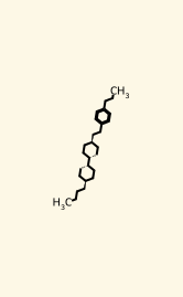 CCCC[C@H]1CC[C@H]([C@H]2CC[C@H](CCc3ccc(CCC)cc3)CC2)CC1